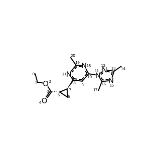 CCOC(=O)[C@H]1C[C@@H]1c1cc(-n2nc(C)nc2C)nc(C)n1